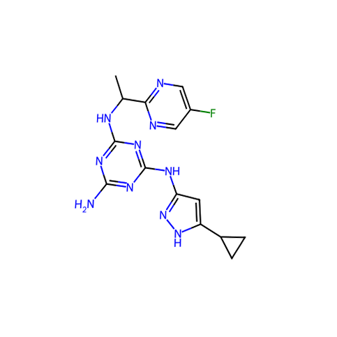 CC(Nc1nc(N)nc(Nc2cc(C3CC3)[nH]n2)n1)c1ncc(F)cn1